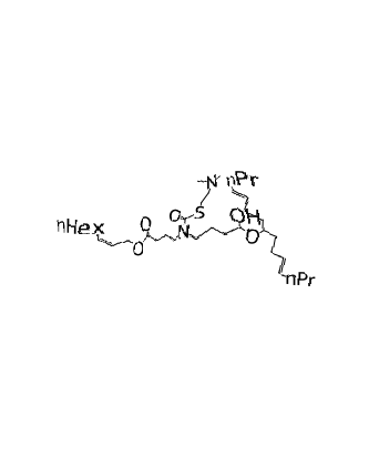 CCC/C=C/CCC(CC/C=C/CCC)OC(O)CCCN(CCCC(=O)OC/C=C\CCCCCC)C(=O)SCCN(C)C